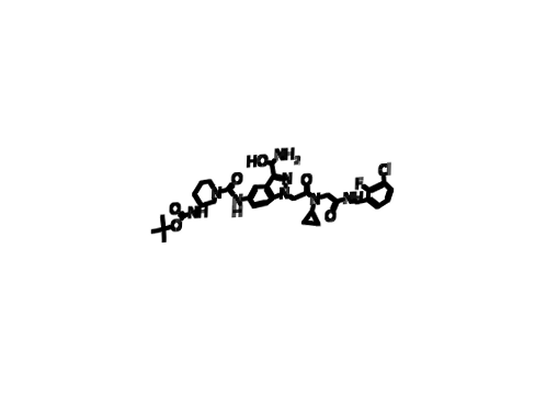 CC(C)(C)OC(=O)N[C@@H]1CCCN(C(=O)Nc2ccc3c(c2)c(C(N)O)nn3CC(=O)N(CC(=O)NCc2cccc(Cl)c2F)C2CC2)C1